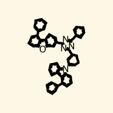 C1=C(c2nc(-c3ccccc3)nc(-c3ccc4c(c3)oc3cccc(-c5ccccc5)c34)n2)CCC=C1n1c2ccccc2c2c(-c3ccccc3)cccc21